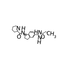 CCC1NC(c2ccc3c(c2)CC[C@H]3NC(=O)C2=NCCCC2)NO1